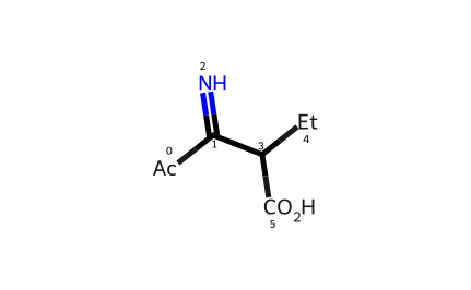 [CH2]C(=O)C(=N)C(CC)C(=O)O